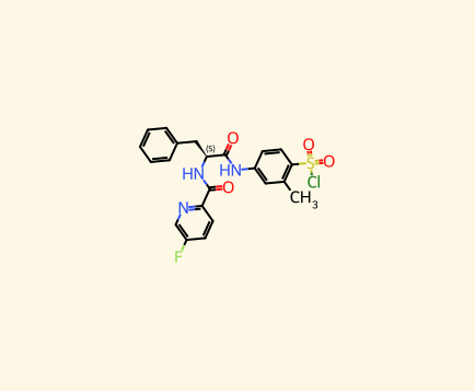 Cc1cc(NC(=O)[C@H](Cc2ccccc2)NC(=O)c2ccc(F)cn2)ccc1S(=O)(=O)Cl